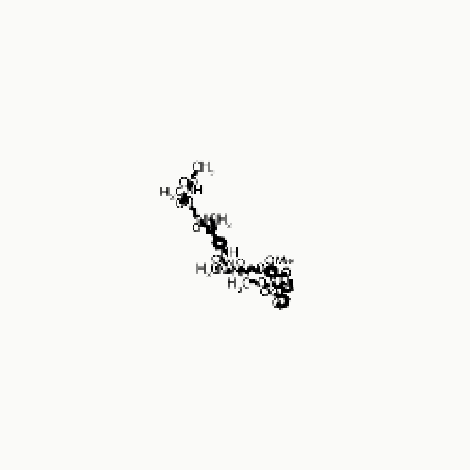 C=CCOC(=O)N[C@@H](C)C(=O)OCCCNC(=O)c1cc(-c2ccc(NC(=O)c3nc(NC(=O)CCCOc4cc5c(cc4OC)C(=O)N4CCC[C@H]4C(OC4CCCCO4)N5C(=O)OCC=C)cn3C)cc2)cn1C